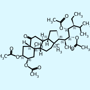 CC[C@@H](C(C)C)[C@@H](OC(C)=O)[C@H](OC(C)=O)[C@@H](C)[C@H]1CC[C@H]2[C@@H]3CC(=O)[C@H]4C[C@H](OC(C)=O)[C@H](OC(C)=O)C[C@]4(C)[C@H]3CC[C@]12C